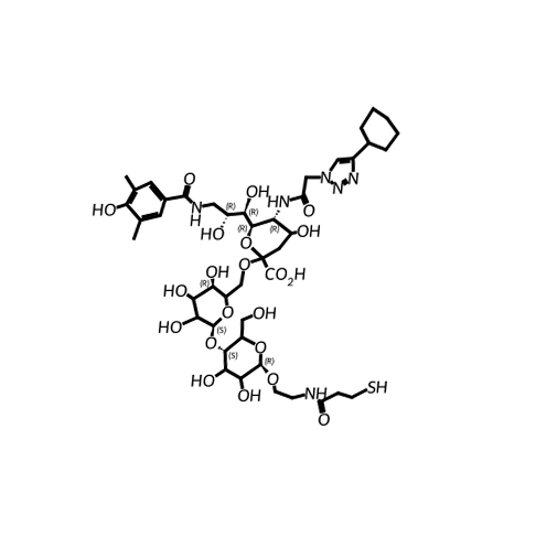 Cc1cc(C(=O)NC[C@@H](O)[C@@H](O)[C@@H]2OC(OCC3O[C@@H](O[C@@H]4C(CO)O[C@@H](OCCNC(=O)CCS)C(O)C4O)C(O)C(O)[C@H]3O)(C(=O)O)CC(O)[C@H]2NC(=O)Cn2cc(C3CCCCC3)nn2)cc(C)c1O